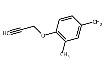 C#CCOc1ccc(C)cc1C